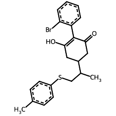 Cc1ccc(SCC(C)C2CC(=O)C(c3ccccc3Br)=C(O)C2)cc1